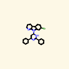 Brc1ccc2c3cccnc3n(C3C=C(c4ccccc4)N=C(c4ccccc4)N3)c2c1